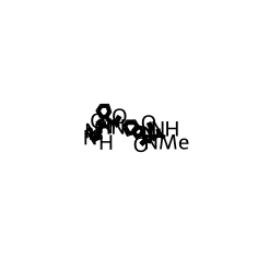 CNC(=O)C1(N2CC(C)NC2=O)Cc2ccc(NC(=O)[C@@H](NC(=O)c3ccnn3C)C3CCCCC3)cc2C1